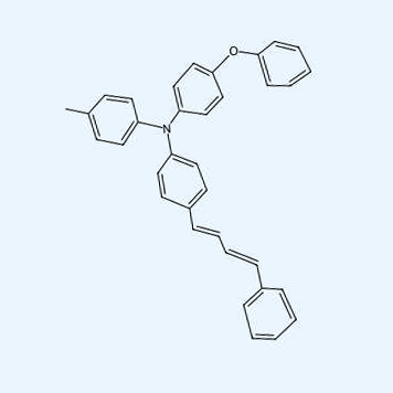 Cc1ccc(N(c2ccc(/C=C/C=C/c3ccccc3)cc2)c2ccc(Oc3ccccc3)cc2)cc1